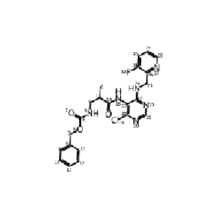 CC(CNC(=O)OCc1ccccc1)C(=O)Nc1c(Cl)ncnc1NCc1ncccc1F